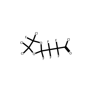 O=C(Cl)C(F)(F)C(F)(F)C1(F)OC(F)(Cl)C(Cl)(Cl)O1